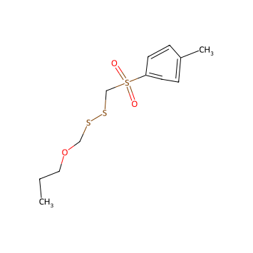 CCCOCSSCS(=O)(=O)c1ccc(C)cc1